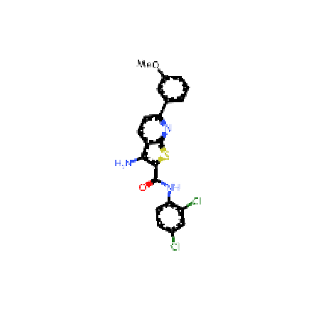 COc1cccc(-c2ccc3c(N)c(C(=O)Nc4ccc(Cl)cc4Cl)sc3n2)c1